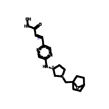 O=C(/C=C/c1cnc(N[C@@H]2CCN(CC34CCC(CC3)O4)C2)cn1)NO